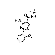 COc1ccccc1-c1ncc(C(=O)NC(C)(C)C)c(N)n1